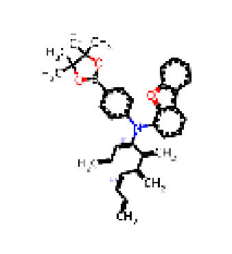 C=C/C=C\C(=C)C(=C)/C(=C\C=C)N(c1ccc(B2OC(C)(C)C(C)(C)O2)cc1)c1cccc2c1oc1ccccc12